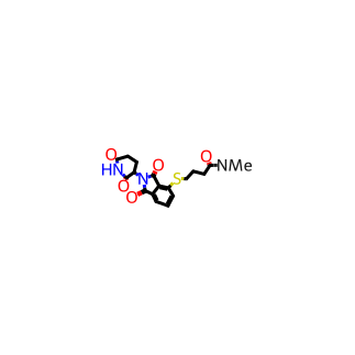 CNC(=O)CCCSc1cccc2c1C(=O)N(C1CCC(=O)NC1=O)C2=O